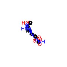 O=C1CCC(N2C(=O)c3ccc(N4CCC(N5CCN6c7cc(-c8ccccc8O)nnc7NC[C@H]6C5)C4)cc3C2=O)C(=O)N1